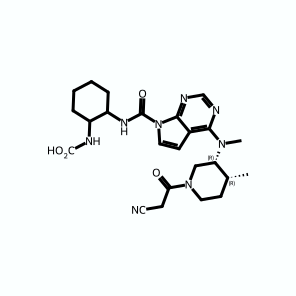 C[C@@H]1CCN(C(=O)CC#N)C[C@@H]1N(C)c1ncnc2c1ccn2C(=O)NC1CCCCC1NC(=O)O